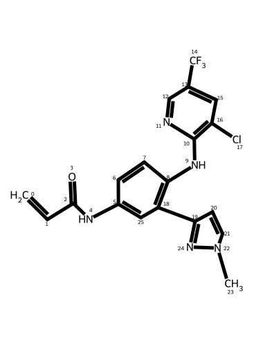 C=CC(=O)Nc1ccc(Nc2ncc(C(F)(F)F)cc2Cl)c(-c2ccn(C)n2)c1